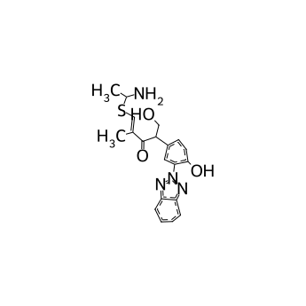 CC(=CSC(C)N)C(=O)C(CO)c1ccc(O)c(-n2nc3ccccc3n2)c1